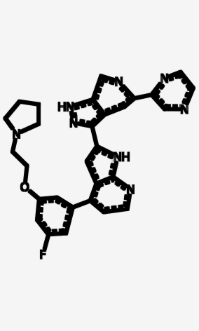 Fc1cc(OCCN2CCCC2)cc(-c2ccnc3[nH]c(-c4n[nH]c5cnc(-c6cnccn6)cc45)cc23)c1